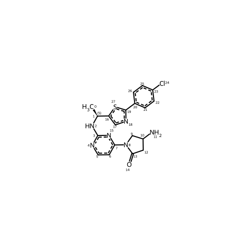 C[C@H](Nc1nccc(N2CC(N)CC2=O)n1)c1cnc(-c2ccc(Cl)cc2)s1